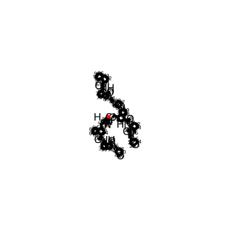 COCc1ccc(C(=O)Nc2cccc3c2C(=O)N(CC2CCOCC2)C3)c2ccccc12.O=C(Nc1cccc2c1C(=O)N(CC1CCOCC1)C2)c1ccc(Cn2ccnn2)c2ccccc12.O=C(Nc1cccc2c1C(=O)N(CCN1CCOCC1)C2)c1cccc2ccccc12